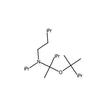 CC(C)CCN(C(C)C)C(C)(OC(C)(C)C(C)C)C(C)C